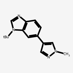 Cn1cc(-c2ccc3ncn(C(C)(C)C)c3c2)cn1